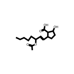 CCCCCC(C=CC1CCC(O)C1C(=O)O)OC(C)=O